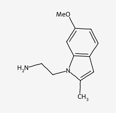 COc1ccc2cc(C)n(CCN)c2c1